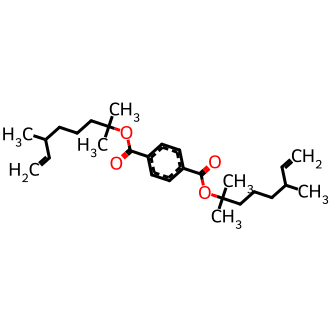 C=CC(C)CCCC(C)(C)OC(=O)c1ccc(C(=O)OC(C)(C)CCCC(C)C=C)cc1